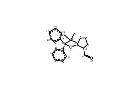 CC(C)(C)[Si](O[C@H]1CCC[C@H]1C=O)(c1ccccc1)c1ccccc1